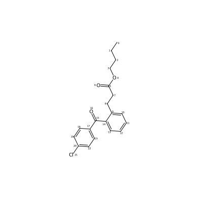 CCCCOC(=O)CCc1ccccc1C(=O)c1ccc(Cl)cc1